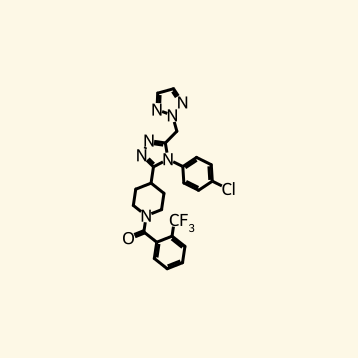 O=C(c1ccccc1C(F)(F)F)N1CCC(c2nnc(Cn3nccn3)n2-c2ccc(Cl)cc2)CC1